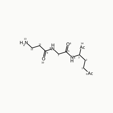 CC(=O)CCC(NC(=O)CNC(=O)CCN)C(C)=O